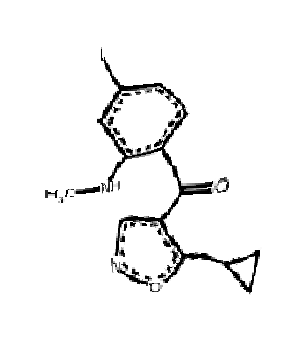 CNc1cc(I)ccc1C(=O)c1cnoc1C1CC1